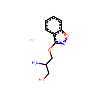 Cl.NC(CO)COc1noc2ccccc12